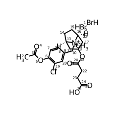 Br.Br.CC(=O)Oc1ccc(C[N+]2(C)[C@@H]3CC[C@H]2CC(OC(=O)CCC(=O)O)C3)cc1Cl